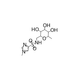 CC1OC(CNS(=O)(=O)c2cn(C)cn2)C(O)C(O)C1O